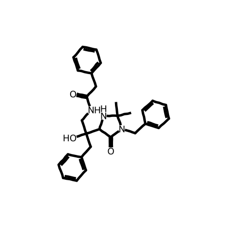 CC1(C)NC(C(O)(CNC(=O)Cc2ccccc2)Cc2ccccc2)C(=O)N1Cc1ccccc1